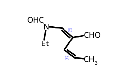 C/C=C\C(C=O)=C/N(C=O)CC